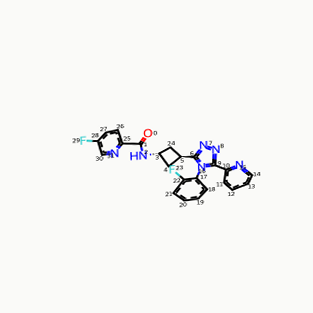 O=C(N[C@H]1C[C@H](c2nnc(-c3ccccn3)n2-c2ccccc2F)C1)c1ccc(F)cn1